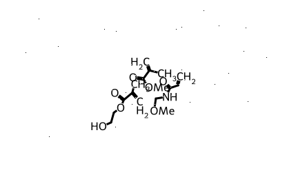 C=C(C)C(=O)OC.C=C(C)C(=O)OCCO.C=CC(=O)NCOC